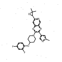 Cn1cc(-c2nc3cnc(C4OC4(C)C)cc3nc2N2CCC(Oc3ccc(F)cc3F)CC2)cn1